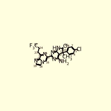 CC1(c2ccc(Cl)cc2)C(=O)Nc2nc(-c3cn4ccnc4c(CCC(F)(F)F)n3)nc(N)c21